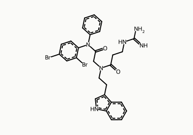 N=C(N)NCCC(=O)N(CCc1c[nH]c2ccccc12)CC(=O)N(c1ccccc1)c1ccc(Br)cc1Br